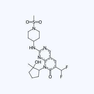 CC1(O)CCCC1n1c(=O)c(C(F)F)cc2cnc(NC3CCN(S(C)(=O)=O)CC3)nc21